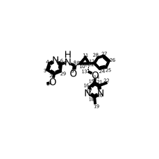 COc1ccnc(NC(=O)[C@@H]2C[C@@]2(COc2cnc(C)nc2C)C2C=CC=CC2)c1